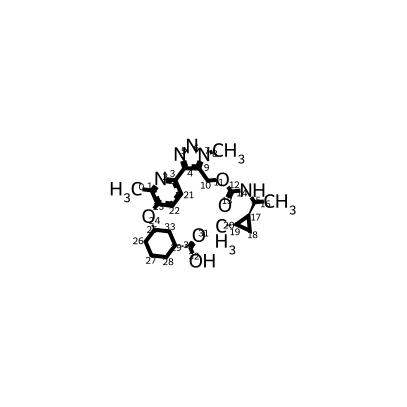 Cc1nc(-c2nnn(C)c2COC(=O)NC(C)[C@H]2C[C@@H]2C)ccc1O[C@H]1CCC[C@@H](C(=O)O)C1